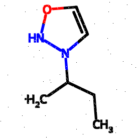 [CH2]C(CC)N1C=CON1